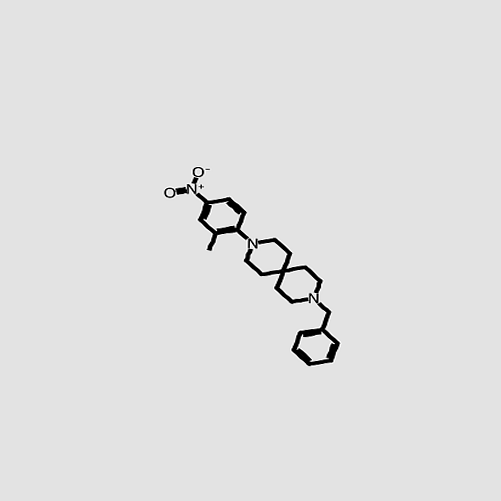 Cc1cc([N+](=O)[O-])ccc1N1CCC2(CCN(Cc3ccccc3)CC2)CC1